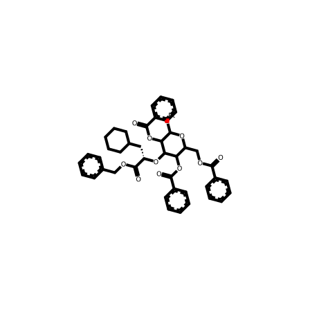 CCSC1OC(COC(=O)c2ccccc2)C(OC(=O)c2ccccc2)C(O[C@@H](CC2CCCCC2)C(=O)OCc2ccccc2)C1OC(=O)c1ccccc1